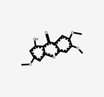 COc1cc(O)c2c(=O)c3cc(OC)c(OC)cc3oc2c1